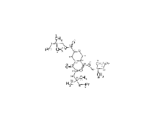 CC(C)CC(C)(C)COC(=O)C1CCC(C(=O)OCC(C)(C)CC(C)C)C(C(=O)OCC(C)(C)CC(C)C)C1